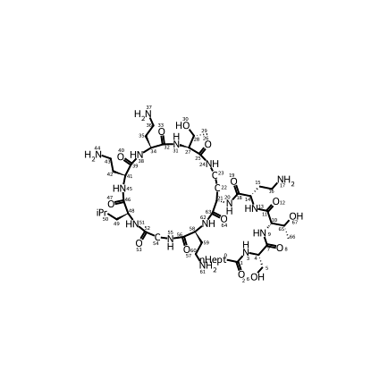 CCCCCCCC(=O)N[C@@H](CO)C(=O)N[C@H](C(=O)N[C@@H](CCN)C(=O)N[C@H]1CCNC(=O)[C@H]([C@@H](C)O)NC(=O)[C@H](CCN)NC(=O)[C@H](CCN)NC(=O)[C@H](CC(C)C)NC(=O)CNC(=O)[C@H](CCN)NC1=O)[C@@H](C)O